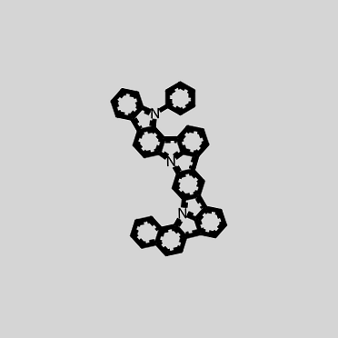 c1ccc(-n2c3ccccc3c3ccc4c(c5cccc6c7cc8c9cccc%10c%11ccc%12ccccc%12c%11n(c8cc7n4c65)c9%10)c32)cc1